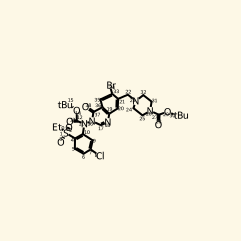 CCS(=O)(=O)c1ccc(Cl)cc1N(C(=O)OC(C)(C)C)n1cnc2cc(CN3CCN(C(=O)OC(C)(C)C)CC3)c(Br)cc2c1=O